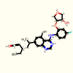 CCCc1cc(C(C)C[C@@H](C=C=O)CC(C)(C)C)cc2ncnc(Nc3ccc(F)cc3O[C@H]3COC[C@H]3O)c12